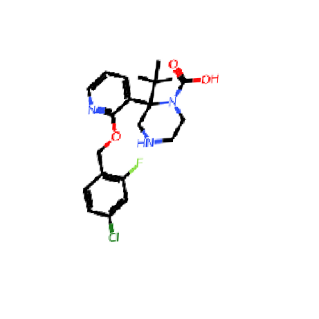 CC(C)(C)C1(c2cccnc2OCc2ccc(Cl)cc2F)CNCCN1C(=O)O